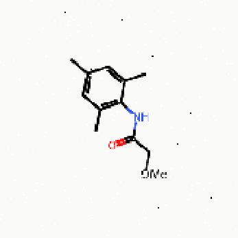 [CH2]OCC(=O)Nc1c(C)cc(C)cc1C